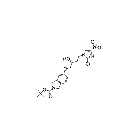 CC(C)(C)OC(=O)N1Cc2ccc(OC[C@@H](O)CCn3cc([N+](=O)[O-])nc3Cl)cc2C1